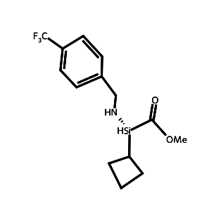 COC(=O)[Si@@H](NCc1ccc(C(F)(F)F)cc1)C1CCC1